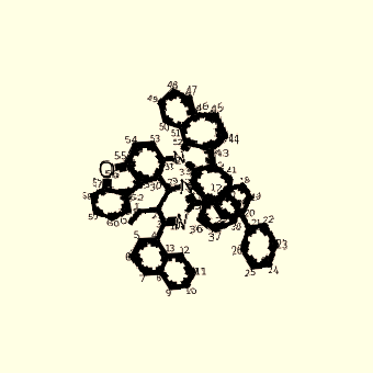 CCC1C(c2cccc3ccccc23)=NC(c2cccc(-c3ccccc3)c2)=NC1c1c(-n2c3cc4ccccc4cc3c3ccc4ccccc4c32)ccc2oc3ccccc3c12